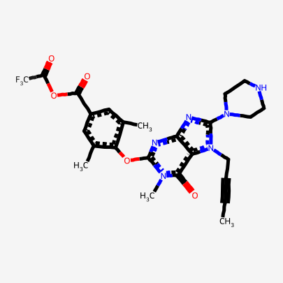 CC#CCn1c(N2CCNCC2)nc2nc(Oc3c(C)cc(C(=O)OC(=O)C(F)(F)F)cc3C)n(C)c(=O)c21